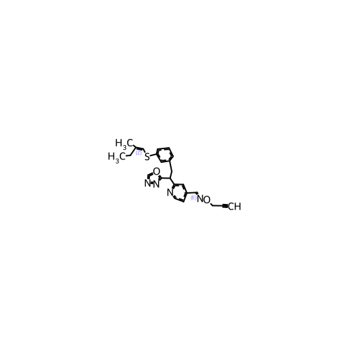 C#CCO/N=C/c1ccnc(C(Cc2cccc(S/C=C(/C)CC)c2)c2nnco2)c1